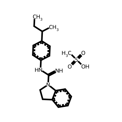 CCC(C)c1ccc(NC(=N)N2CCc3ccccc32)cc1.CS(=O)(=O)O